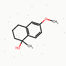 COc1ccc2c(c1)CCCC2(C)O